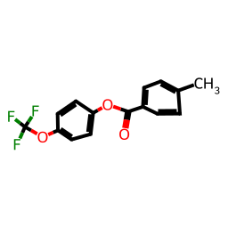 Cc1ccc(C(=O)Oc2ccc(OC(F)(F)F)cc2)cc1